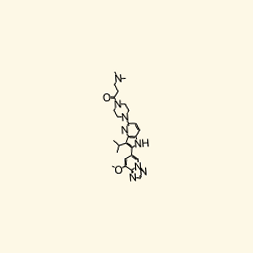 COc1cc(-c2[nH]c3ccc(N4CCN(C(=O)CCN(C)C)CC4)nc3c2C(C)C)cn2ncnc12